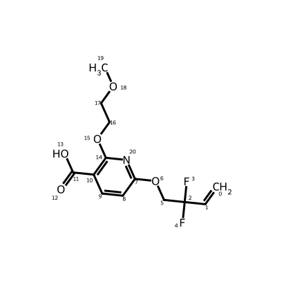 C=CC(F)(F)COc1ccc(C(=O)O)c(OCCOC)n1